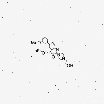 CCCOCCn1c(=O)c(N2CCN(CCO)CC2)nc2cnc(-c3cccc(OC)c3)cc21